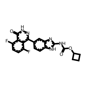 O=C(Nc1nc2cc(-c3n[nH]c(=O)c4c(F)ccc(F)c34)ccc2[nH]1)OC1CCC1